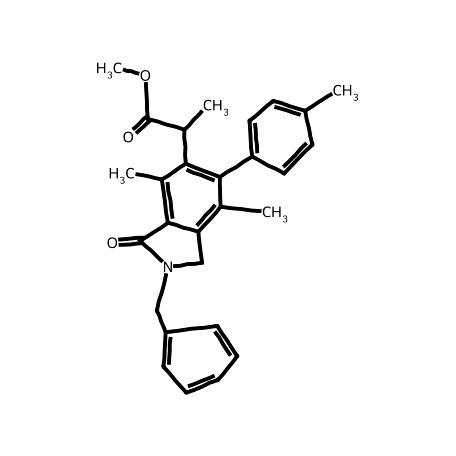 COC(=O)C(C)c1c(C)c2c(c(C)c1-c1ccc(C)cc1)CN(Cc1ccccc1)C2=O